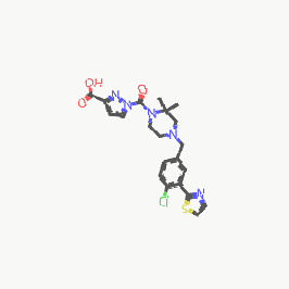 CC1(C)CN(Cc2ccc(Cl)c(-c3nccs3)c2)CCN1C(=O)n1ccc(C(=O)O)n1